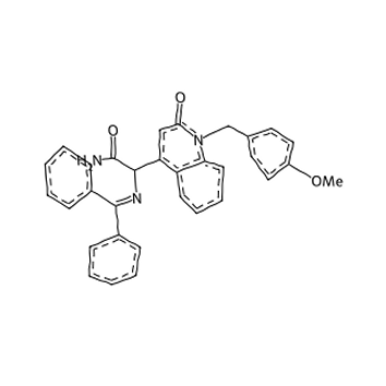 COc1ccc(Cn2c(=O)cc(C(N=C(c3ccccc3)c3ccccc3)C(N)=O)c3ccccc32)cc1